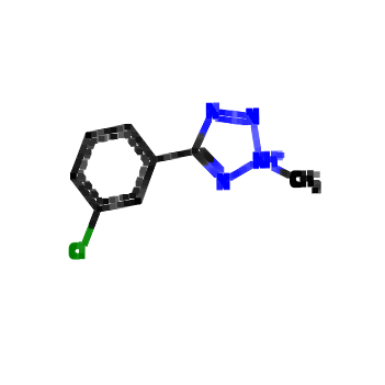 [CH2-][NH+]1N=NC(c2cccc(Cl)c2)=N1